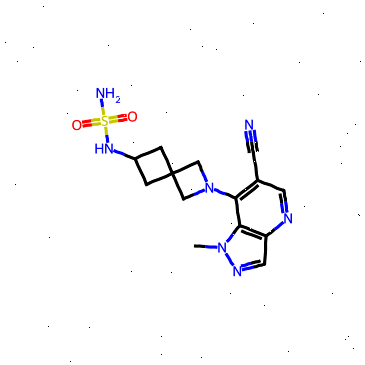 Cn1ncc2ncc(C#N)c(N3CC4(CC(NS(N)(=O)=O)C4)C3)c21